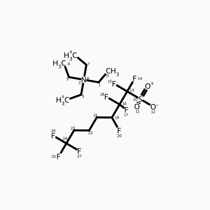 CC[N+](CC)(CC)CC.O=S(=O)([O-])C(F)(F)C(F)(F)C(F)CCCC(F)(F)F